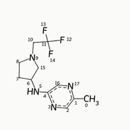 Cc1cnc(NC2CCN(CC(F)(F)F)C2)cn1